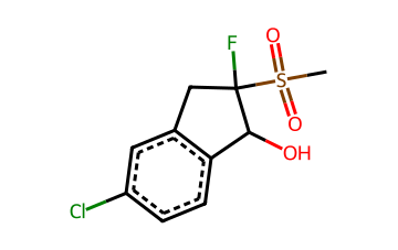 CS(=O)(=O)C1(F)Cc2cc(Cl)ccc2C1O